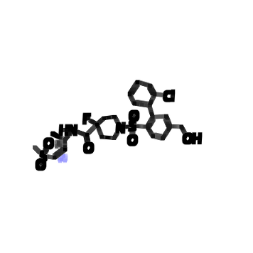 C[C@H](/C=C\S(C)(=O)=O)NC(=O)C1(F)CCN(S(=O)(=O)c2ccc(CO)cc2-c2ccccc2Cl)CC1